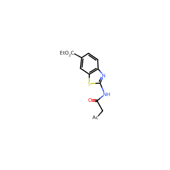 CCOC(=O)c1ccc2nc(NC(=O)CC(C)=O)sc2c1